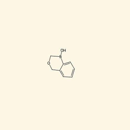 OB1COCc2ccccc21